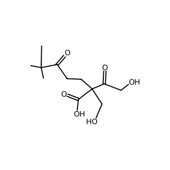 CC(C)(C)C(=O)CCC(CO)(C(=O)O)C(=O)CO